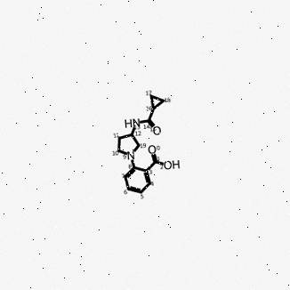 O=C(O)c1ccccc1N1CCC(NC(=O)C2CC2)C1